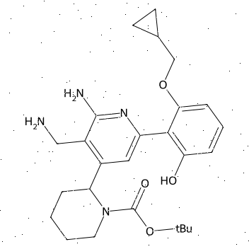 CC(C)(C)OC(=O)N1CCCCC1c1cc(-c2c(O)cccc2OCC2CC2)nc(N)c1CN